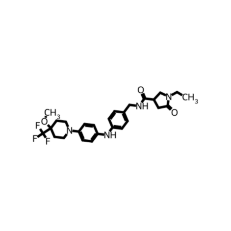 CCN1CC(C(=O)NCc2ccc(Nc3ccc(N4CCC(OC)(C(F)(F)F)CC4)cc3)cc2)CC1=O